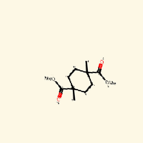 COC(=O)C1(C)CCC(C)(C(=O)OC)CC1